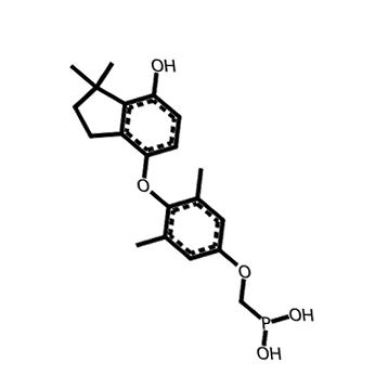 Cc1cc(OCP(O)O)cc(C)c1Oc1ccc(O)c2c1CCC2(C)C